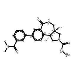 CN(C)C(=O)c1cccc(-c2ccc3c(c2)C(=O)NC[C@@H]2CN(C(=O)OC(C)(C)C)C[C@@H]32)c1